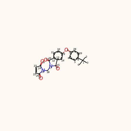 CC(C)(C)c1ccc(Oc2ccc3c(c2)C(=O)N(CN2C(=O)C=CC2=O)C3=O)cc1